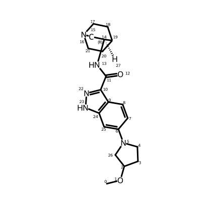 COC1CCN(c2ccc3c(C(=O)N[C@H]4CN5CCC4CC5)n[nH]c3c2)C1